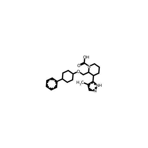 Cc1cn[nH]c1C1CCCN(C(=O)O)C1COC1CCC(c2ccccc2)CC1